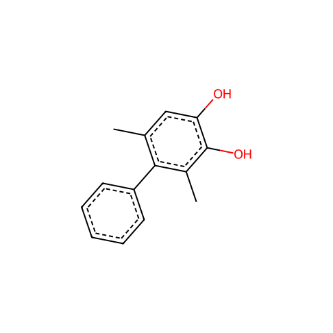 Cc1cc(O)c(O)c(C)c1-c1ccccc1